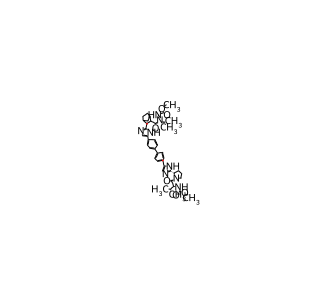 COC(=O)N[C@H](C(=O)N1CCC[C@H]1c1ncc(-c2ccc(-c3ccc(-c4cnc(C5C6CCC(C6)C5C(=O)N(NC(=O)OC)C(C)C)[nH]4)cc3)cc2)[nH]1)C(C)C